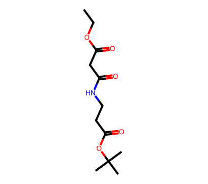 CCOC(=O)CC(=O)NCCC(=O)OC(C)(C)C